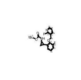 CC(C)(C)OC(=O)NC1CC1c1cccc(F)c1OCc1cccnc1F